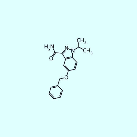 CC(C)n1nc(C(N)=O)c2cc(OCc3ccccc3)ccc21